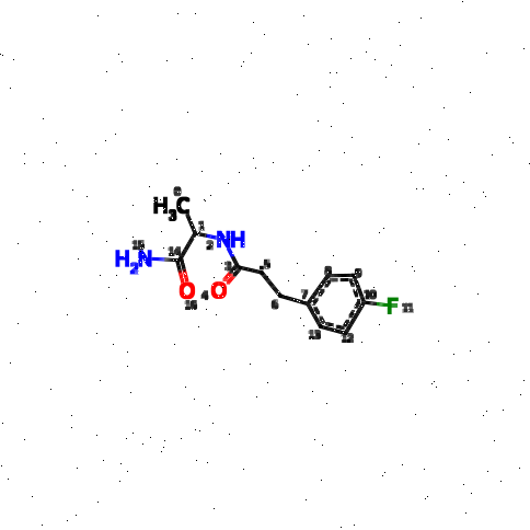 CC(NC(=O)[CH]Cc1ccc(F)cc1)C(N)=O